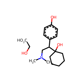 CN(C)CC(c1ccc(O)cc1)C1(O)CCCCC1.O=C(O)CO